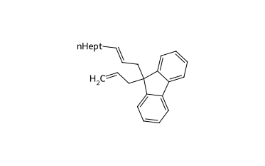 C=CCC1(CC=CCCCCCCC)c2ccccc2-c2ccccc21